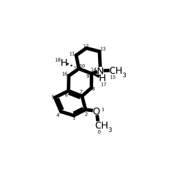 COc1cccc2c1C[C@@H]1[C@H](CCCN1C)C2